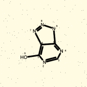 Oc1ncnc2c1N=N[N]2